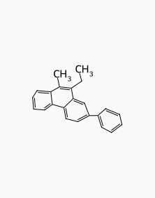 CCc1c(C)c2ccccc2c2ccc(-c3ccccc3)cc12